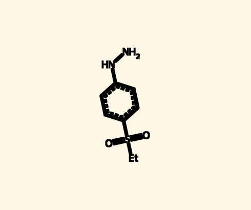 CCS(=O)(=O)c1ccc(NN)cc1